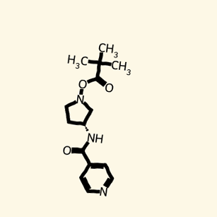 CC(C)(C)C(=O)ON1CC[C@@H](NC(=O)c2ccncc2)C1